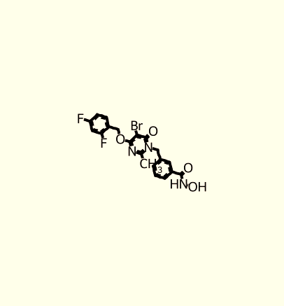 Cc1nc(OCc2ccc(F)cc2F)c(Br)c(=O)n1Cc1cccc(C(=O)NO)c1